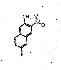 Cc1cc2ccc(F)cc2cc1[N+](=O)[O-]